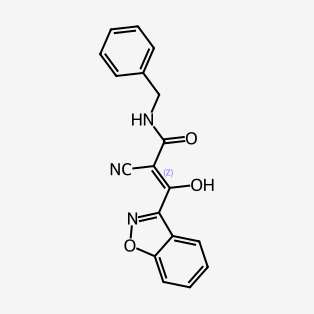 N#C/C(C(=O)NCc1ccccc1)=C(/O)c1noc2ccccc12